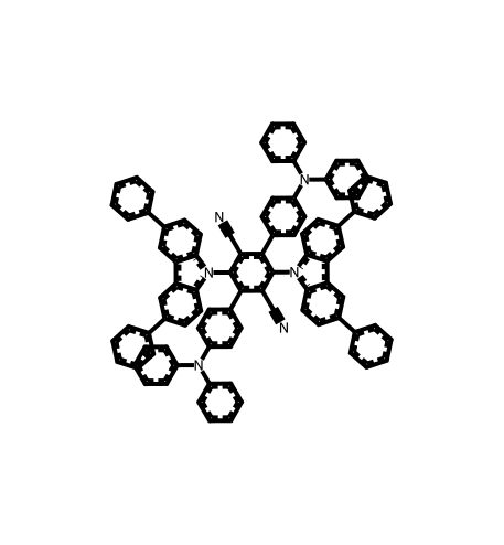 N#Cc1c(-c2ccc(N(c3ccccc3)c3ccccc3)cc2)c(-n2c3ccc(-c4ccccc4)cc3c3cc(-c4ccccc4)ccc32)c(C#N)c(-c2ccc(N(c3ccccc3)c3ccccc3)cc2)c1-n1c2ccc(-c3ccccc3)cc2c2cc(-c3ccccc3)ccc21